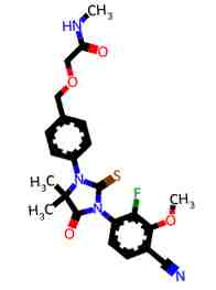 CNC(=O)COCc1ccc(N2C(=S)N(c3ccc(C#N)c(OC)c3F)C(=O)C2(C)C)cc1